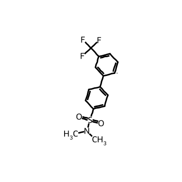 CN(C)S(=O)(=O)c1ccc(-c2[c]ccc(C(F)(F)F)c2)cc1